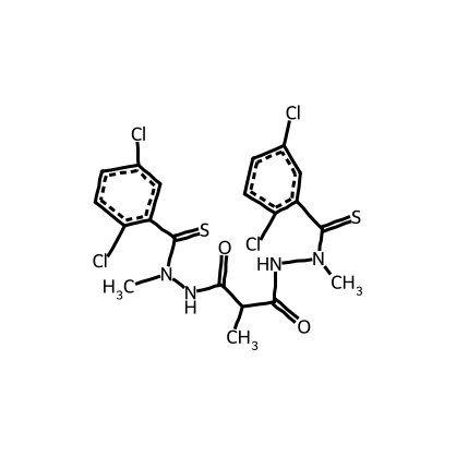 CC(C(=O)NN(C)C(=S)c1cc(Cl)ccc1Cl)C(=O)NN(C)C(=S)c1cc(Cl)ccc1Cl